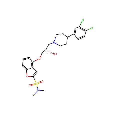 CN(C)S(=O)(=O)c1cc2c(OC[C@@H](O)CN3CCC(c4ccc(Cl)c(Cl)c4)CC3)cccc2o1